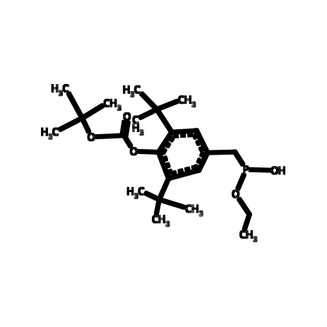 CCOP(O)Cc1cc(C(C)(C)C)c(OC(=O)OC(C)(C)C)c(C(C)(C)C)c1